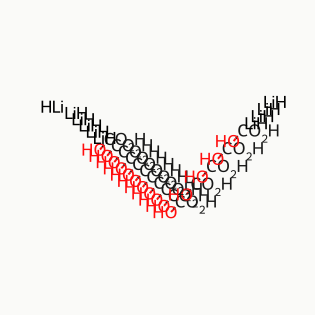 O=C(O)O.O=C(O)O.O=C(O)O.O=C(O)O.O=C(O)O.O=C(O)O.O=C(O)O.O=C(O)O.O=C(O)O.O=C(O)O.O=C(O)O.O=C(O)O.O=C(O)O.O=C(O)O.O=C(O)O.[LiH].[LiH].[LiH].[LiH].[LiH].[LiH].[LiH].[LiH].[LiH].[LiH]